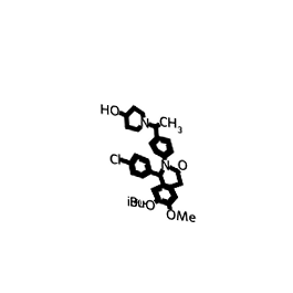 CC[C@@H](C)Oc1cc2c(cc1OC)CC(=O)N(c1ccc(C(C)N3CCC(O)CC3)cc1)C2c1ccc(Cl)cc1